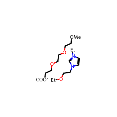 CCOCCn1cc[n+](CC)c1.COCCOCCOCCC(=O)[O-]